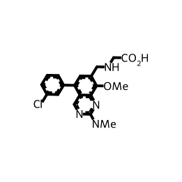 CNc1ncc2c(-c3cccc(Cl)c3)cc(CNCC(=O)O)c(OC)c2n1